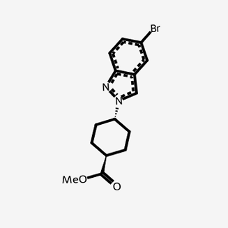 COC(=O)[C@H]1CC[C@H](n2cc3cc(Br)ccc3n2)CC1